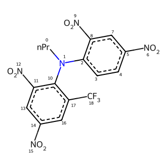 CCCN(c1ccc([N+](=O)[O-])cc1[N+](=O)[O-])c1c([N+](=O)[O-])cc([N+](=O)[O-])cc1C(F)(F)F